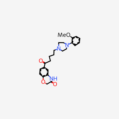 COc1ccccc1N1CCN(CCCCC(=O)c2ccc3c(c2)NC(=O)CO3)CC1